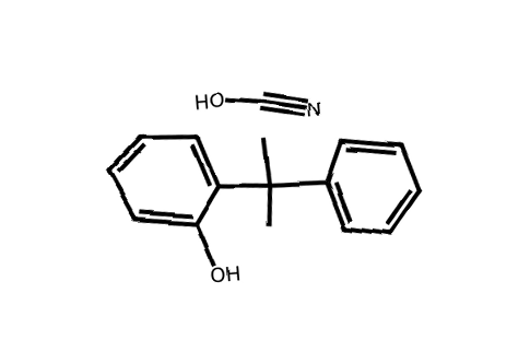 CC(C)(c1ccccc1)c1ccccc1O.N#CO